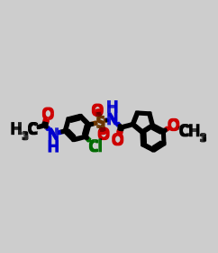 COc1cccc2c1CCC2C(=O)NS(=O)(=O)c1ccc(NC(C)=O)cc1Cl